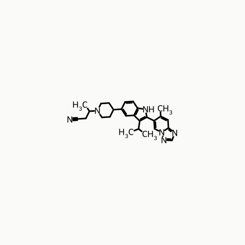 Cc1cc2ncnn2cc1-c1[nH]c2ccc(C3CCN(C(C)CC#N)CC3)cc2c1C(C)C